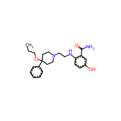 CCCOC1(c2ccccc2)CCN(CCNc2ccc(O)cc2C(N)=O)CC1